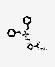 CC(C)(C)OC(=O)N1CC[C@@H]1COP(=O)(OCc1ccccc1)OCc1ccccc1